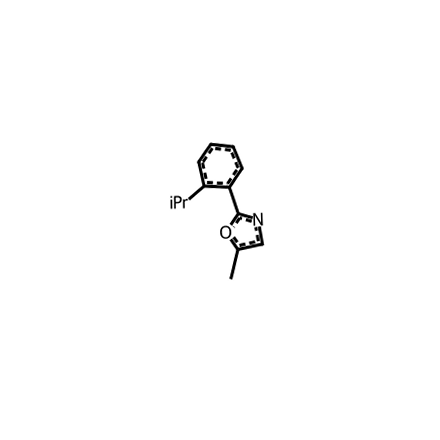 Cc1cnc(-c2ccccc2C(C)C)o1